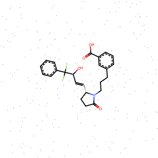 O=C(O)c1cccc(CCCN2C(=O)CC[C@@H]2/C=C/C(O)C(F)(F)c2ccccc2)c1